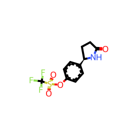 O=C1CC[C@H](c2ccc(OS(=O)(=O)C(F)(F)F)cc2)N1